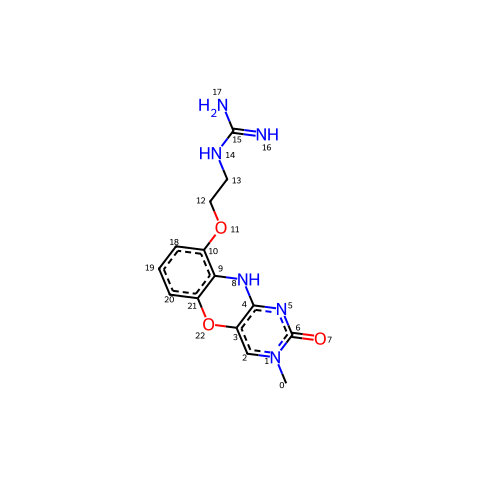 Cn1cc2c(nc1=O)Nc1c(OCCNC(=N)N)cccc1O2